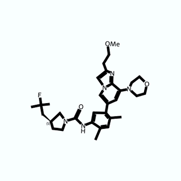 COCCc1cn2cc(-c3cc(NC(=O)N4CC[C@@H](CC(C)(C)F)C4)c(C)cc3C)cc(N3CCOCC3)c2n1